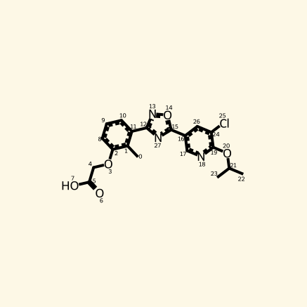 Cc1c(OCC(=O)O)cccc1-c1noc(-c2cnc(OC(C)C)c(Cl)c2)n1